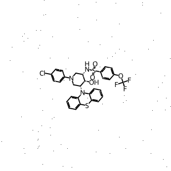 O=S(=O)(N[C@H]1CN(c2ccc(Cl)cc2)C[C@@H](N2c3ccccc3Sc3ccccc32)[C@@H]1O)c1ccc(OC(F)(F)F)cc1